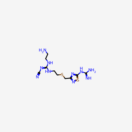 N#C/N=C(/NCCN)NCCSCc1nsc(NC(=N)N)n1